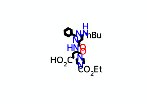 CCCCNc1cc(C(=O)NC(CCC(=O)O)C(=O)N2CCN(C(=O)OCC)CC2)nc(-c2ccccc2)n1